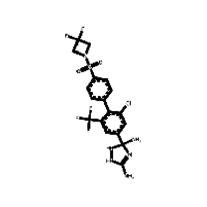 NC1=NC(N)(c2cc(Cl)c(-c3ccc(S(=O)(=O)N4CC(F)(F)C4)cc3)c(C(F)(F)F)c2)NN1